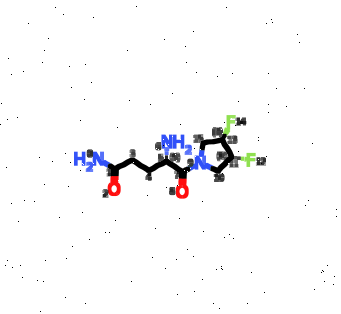 NC(=O)CC[C@H](N)C(=O)N1C[C@@H](F)[C@H](F)C1